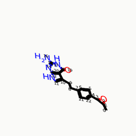 CC1OC1c1ccc(CCc2c[nH]c3nc(N)[nH]c(=O)c23)cc1